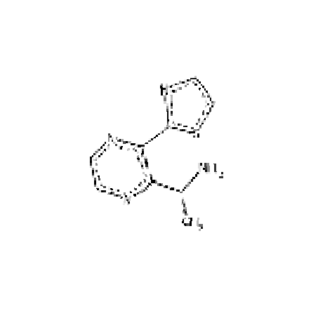 C[C@@H](N)c1nccnc1-c1nccs1